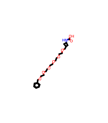 O=C(O)NC1CC(COCCOCCOCCOCCOCCOCc2ccccc2)C1